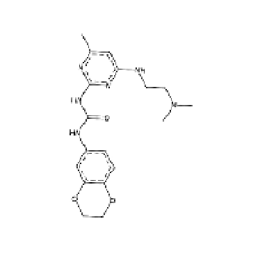 Cc1cc(NCCN(C)C)nc(NC(=O)Nc2ccc3c(c2)OCCO3)n1